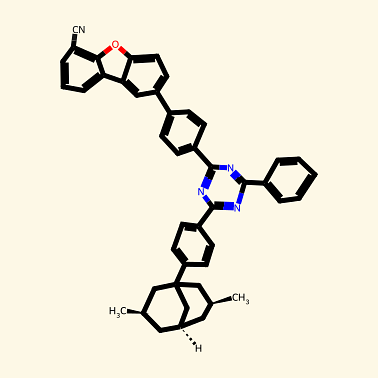 C[C@@H]1C[C@@H]2C[C@H](C)CC(c3ccc(-c4nc(-c5ccccc5)nc(-c5ccc(-c6ccc7oc8c(C#N)cccc8c7c6)cc5)n4)cc3)(C1)C2